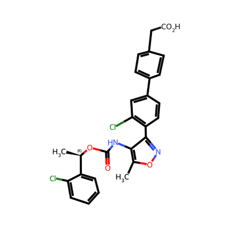 Cc1onc(-c2ccc(-c3ccc(CC(=O)O)cc3)cc2Cl)c1NC(=O)O[C@H](C)c1ccccc1Cl